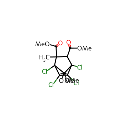 COC(=O)C1C(C)(C(=O)OC)C2(Cl)C(Cl)=C(Cl)C1(Cl)C2(OC)OC